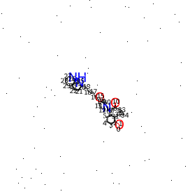 COc1cccc([C@@H](C(C)=O)N2CC[C@@H](OCCCCc3ccc4c(n3)NCCC4)C2)c1C1CC1